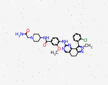 COc1cc(C(=O)NC2CCN(CC(N)=O)CC2)ccc1Nc1ncc2c(n1)-c1c(nn(C)c1-c1ccccc1Cl)CC2